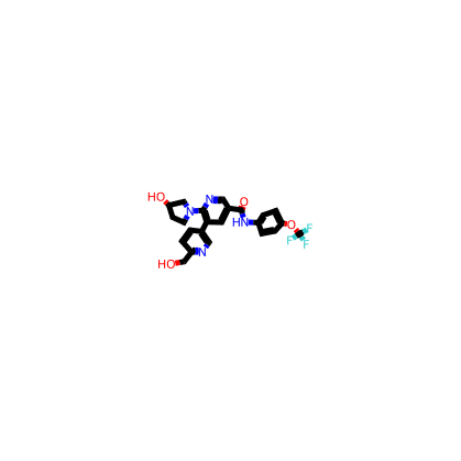 O=C(Nc1ccc(OC(F)(F)F)cc1)c1cnc(N2CCC(O)C2)c(-c2ccc(CO)nc2)c1